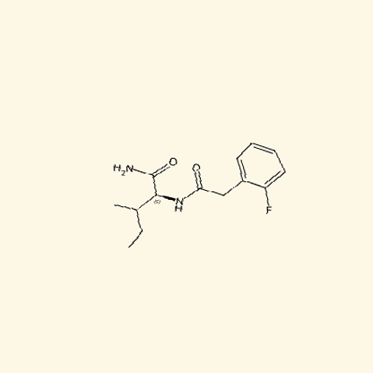 CCC(C)[C@H](NC(=O)Cc1ccccc1F)C(N)=O